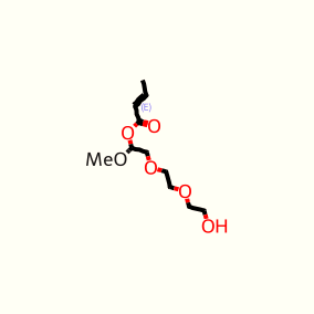 C/C=C/C(=O)OC(COCCOCCO)OC